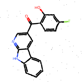 O=C(c1cnc2[nH]c3ccccc3c2c1)c1ccc(F)cc1O